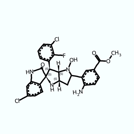 COC(=O)c1ccc(N)c(C2C[C@@H]3N[C@@]4(C(=O)Nc5cc(Cl)ccc54)[C@@H](c4cccc(Cl)c4F)[C@@H]3N2O)c1